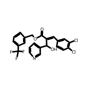 O=C(OCc1cccc(C(F)(F)F)c1)C(=Cc1ccc(Cl)c(Cl)c1)C(O)c1cccnc1